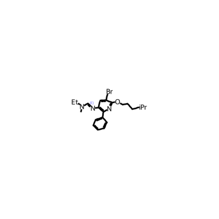 CCN(C)/C=N/c1cc(Br)c(OCCCC(C)C)nc1-c1ccccc1